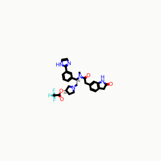 CN(C(=O)Cc1ccc2c(c1)NC(=O)C2)[C@H](CN1CC[C@H](OC(=O)C(F)(F)F)C1)c1cccc(-c2ncc[nH]2)c1